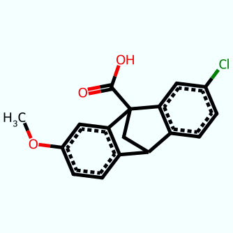 COc1ccc2c(c1)C1(C(=O)O)CC2c2ccc(Cl)cc21